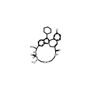 CN1CCCCCNC(=O)C2=Cc3ccc(Cl)cc3-c3c(C4CCCCC4)c4ccc(cc4n3C2)C(O)NS1(=O)=O